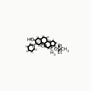 CC[Si](C)(CC)O[C@H]1CCC2C3CCC4C[C@H](O)[C@@H](N5CCCCC5)C[C@]4(C)C3CC[C@@]21C